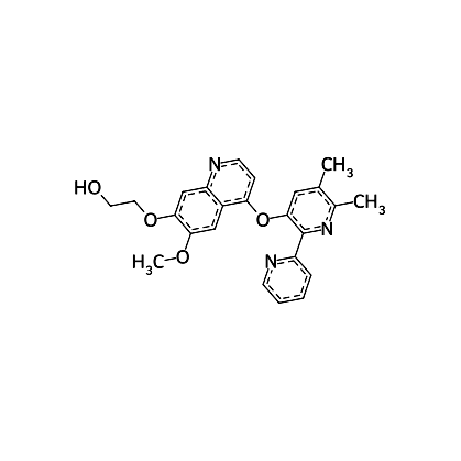 COc1cc2c(Oc3cc(C)c(C)nc3-c3ccccn3)ccnc2cc1OCCO